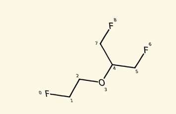 FCCOC(CF)CF